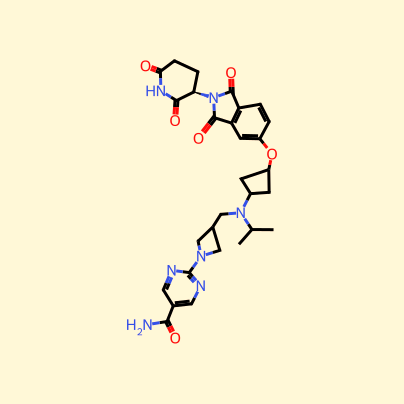 CC(C)N(CC1CN(c2ncc(C(N)=O)cn2)C1)C1CC(Oc2ccc3c(c2)C(=O)N([C@@H]2CCC(=O)NC2=O)C3=O)C1